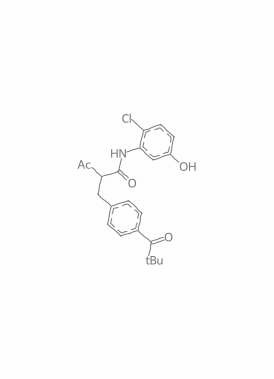 CC(=O)C(Cc1ccc(C(=O)C(C)(C)C)cc1)C(=O)Nc1cc(O)ccc1Cl